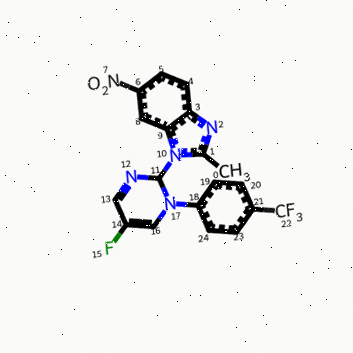 Cc1nc2ccc([N+](=O)[O-])cc2n1C1N=CC(F)=CN1c1ccc(C(F)(F)F)cc1